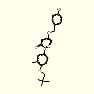 Cc1cc(-n2ncc(OCc3ccc(Cl)cc3)cc2=O)ccc1OCC(C)(C)C